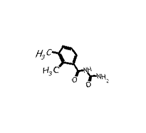 Cc1cccc(C(=O)NC(N)=O)c1C